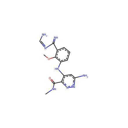 CNC(=O)c1nnc(N)cc1Nc1cccc(C(=N)/N=C\N)c1OC